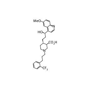 COc1ccc2nccc([C@H](O)CC[C@@H]3CCN(CCCc4ccccc4C(F)(F)F)C[C@@H]3C(=O)O)c2c1